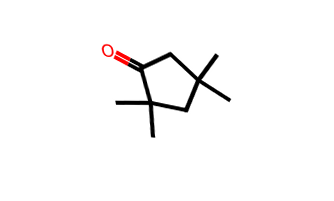 CC1(C)CC(=O)C(C)(C)C1